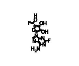 Nc1nc(F)nc2c1ncn2[C@@H]1O[C@H](C(O)F)[C@@H](O)[C@H]1O